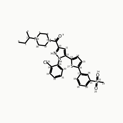 CCC(C)N1CCN(C(=O)c2cc(-c3ccc(-c4cccc(S(C)(=O)=O)c4)s3)n(-c3ccccc3Cl)n2)CC1